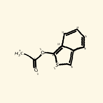 CC(=O)Oc1scc2ccccc12